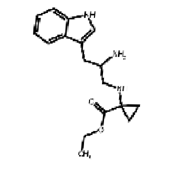 CCOC(=O)C1(NCC(N)Cc2c[nH]c3ccccc23)CC1